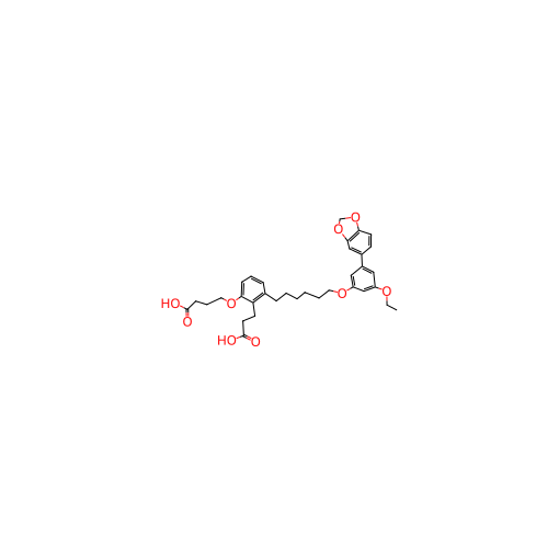 CCOc1cc(OCCCCCCc2cccc(OCCCC(=O)O)c2CCC(=O)O)cc(-c2ccc3c(c2)OCO3)c1